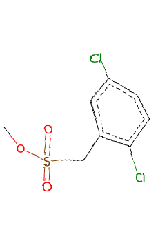 COS(=O)(=O)Cc1cc(Cl)ccc1Cl